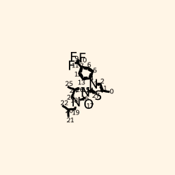 Cc1cn(-c2ccc(C(F)(F)F)cc2)c(=NC(=O)N(CC(C)C)CC(C)C)s1